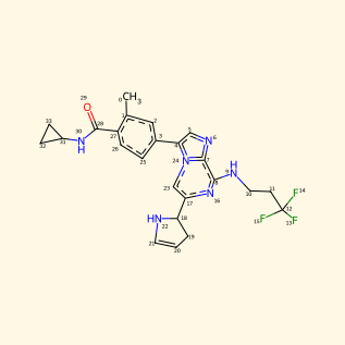 Cc1cc(-c2cnc3c(NCCC(F)(F)F)nc(C4CC=CN4)cn23)ccc1C(=O)NC1CC1